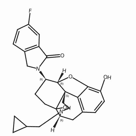 O=C1c2cc(F)ccc2CN1[C@@H]1CCC2(O)[C@H]3Cc4ccc(O)c5c4[C@@]2(CCN3CC2CC2)[C@H]1O5